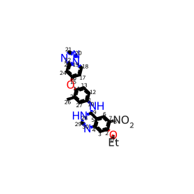 CCOc1cc2c(cc1[N+](=O)[O-])C(Nc1ccc(Oc3ccn4ncnc4c3)c(C)c1)NC=N2